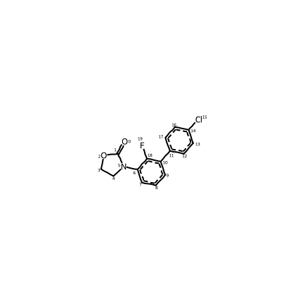 O=C1OCCN1c1cccc(-c2ccc(Cl)cc2)c1F